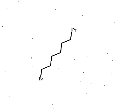 [CH2]C(C)CCCCCCBr